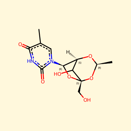 Cc1cn([C@@H]2O[C@@]3(CO)O[C@H](C)O[C@H]2C3O)c(=O)[nH]c1=O